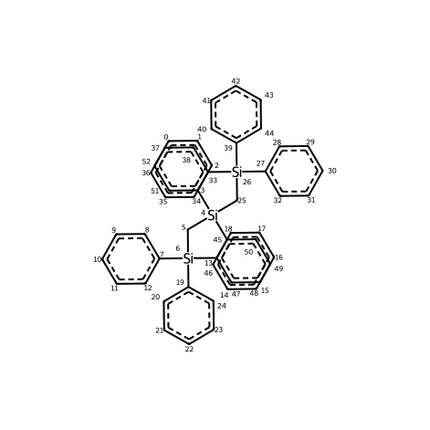 c1ccc([Si](C[Si](c2ccccc2)(c2ccccc2)c2ccccc2)(C[Si](c2ccccc2)(c2ccccc2)c2ccccc2)c2ccccc2)cc1